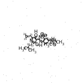 CC[SH](C)(=O)Nc1ccc2c(c1)S(=O)(=O)N=C(c1c(O)c(CC3CC3)nn(CCC(C)C)c1=O)N2